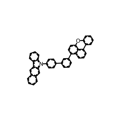 c1cc(-c2ccc(-n3c4ccccc4c4cc5ccccc5cc43)cc2)cc(-c2ccc3c4c(cccc24)-c2ccccc2O3)c1